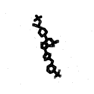 CC(C)(C)OC(=O)N1CCC(c2cc(=O)[nH]c3c(-c4nc(Cc5cccc(C(F)(F)F)c5)no4)cnn23)CC1